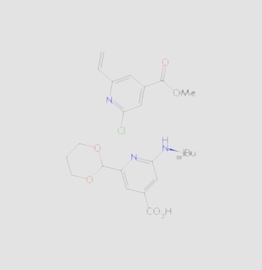 C=Cc1cc(C(=O)OC)cc(Cl)n1.CC[C@H](C)Nc1cc(C(=O)O)cc(C2OCCCO2)n1